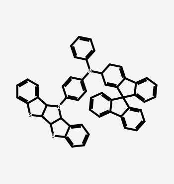 C1=C2C(=CC(N(c3ccccc3)c3ccc(N4C5c6ccccc6SC5C5Sc6ccccc6C54)cc3)C1)C1(c3ccccc32)c2ccccc2-c2ccccc21